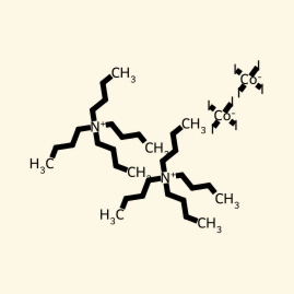 CCCC[N+](CCCC)(CCCC)CCCC.CCCC[N+](CCCC)(CCCC)CCCC.[I][Co-]([I])([I])[I].[I][Co-]([I])([I])[I]